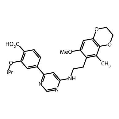 COc1cc2c(c(C)c1CCNc1cc(-c3ccc(C(=O)O)c(OC(C)C)c3)ncn1)OCCO2